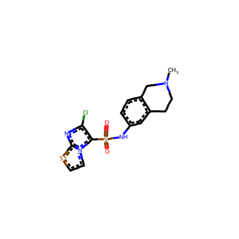 CN1CCc2cc(NS(=O)(=O)c3c(Cl)nc4sccn34)ccc2C1